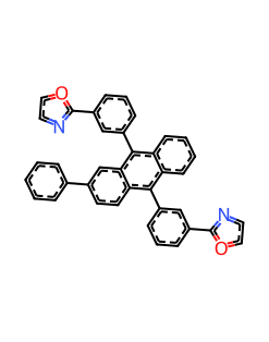 c1ccc(-c2ccc3c(-c4cccc(-c5ncco5)c4)c4ccccc4c(-c4cccc(-c5ncco5)c4)c3c2)cc1